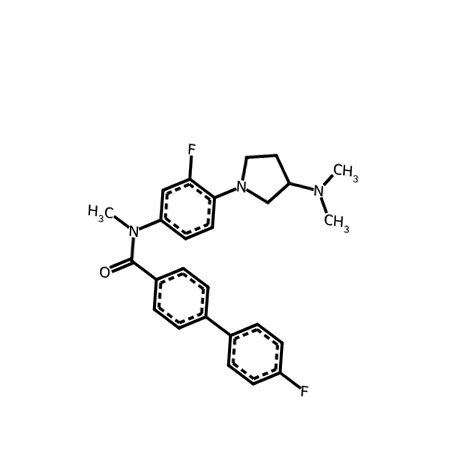 CN(C(=O)c1ccc(-c2ccc(F)cc2)cc1)c1ccc(N2CCC(N(C)C)C2)c(F)c1